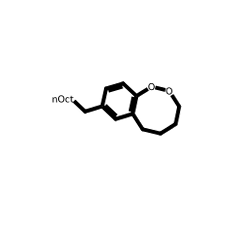 CCCCCCCCCc1ccc2c(c1)CCCCOO2